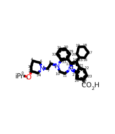 CC(C)OC1CCCN(CCN2CCn3c(c(C4CCCCC4)c4ccc(C(=O)O)cc43)-c3ccccc32)C1